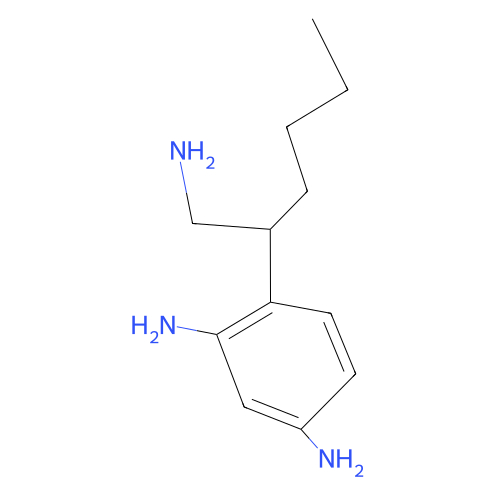 CCCCC(CN)c1ccc(N)cc1N